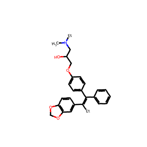 CCC(=C(c1ccccc1)c1ccc(OCC(O)CN(C)CC)cc1)c1ccc2c(c1)OCO2